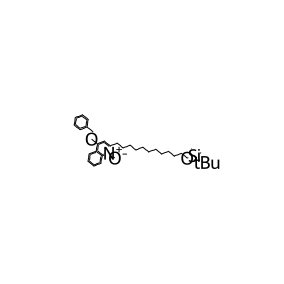 CC(C)(C)[Si](C)(C)OCCCCCCCCCCCc1cc(OCc2ccccc2)c2ccccc2[n+]1[O-]